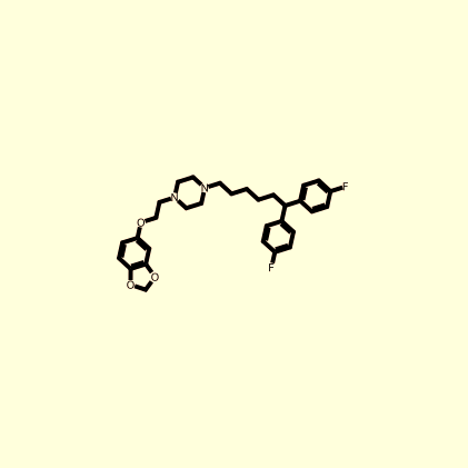 Fc1ccc(C(CCCCCN2CCN(CCOc3ccc4c(c3)OCO4)CC2)c2ccc(F)cc2)cc1